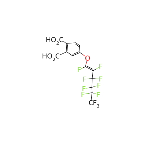 O=C(O)c1ccc(OC(F)=C(F)C(F)(F)C(F)(F)C(F)(F)C(F)(F)F)cc1C(=O)O